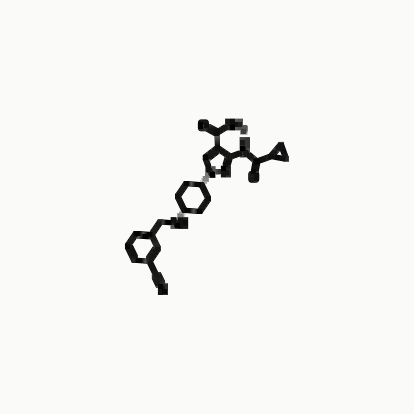 N#Cc1cccc(CN[C@H]2CC[C@@H](n3cc(C(N)=O)c(NC(=O)C4CC4)n3)CC2)c1